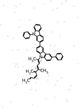 C=C/C=C\C(=C)/C(C)=C/C=C(\C)n1c2ccc(-c3ccccc3)cc2c2cc(-c3ccc4c5ccccc5n(-c5ccccc5)c4c3)ccc21